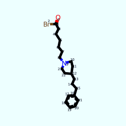 O=C(Br)CCCCCCN1CCC(CCCc2ccccc2)CC1